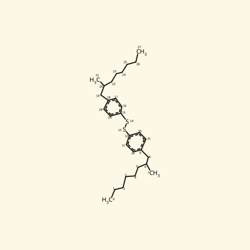 CCCCCCC(C)Cc1ccc(SSc2ccc(CC(C)CCCCCC)cc2)cc1